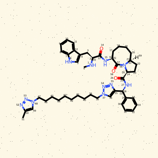 CN[C@@H](Cc1c[nH]c2ccccc12)C(=O)N[C@H]1CCCC[C@H]2CC[C@@H](C(=O)N[C@@H](c3ccccc3)c3cn(CCCCCCCCCCn4cc(C)nn4)nn3)N2C1=O